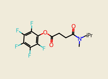 CC(C)N(C)C(=O)CCC(=O)Oc1c(F)c(F)c(F)c(F)c1F